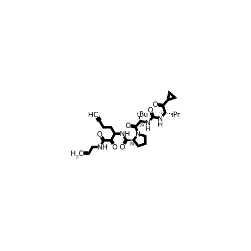 C#CCCC(NC(=O)[C@@H]1CCCN1C(=O)[C@@H](NC(=O)N[C@H](C(=O)C1CC1)C(C)C)C(C)(C)C)C(=O)C(=O)NCC=C